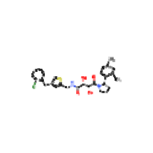 Cc1ccc(C2CCCN2C(=O)[C@H](O)[C@@H](O)C(=O)NCc2cc(Cc3ccccc3Cl)cs2)c(C)c1